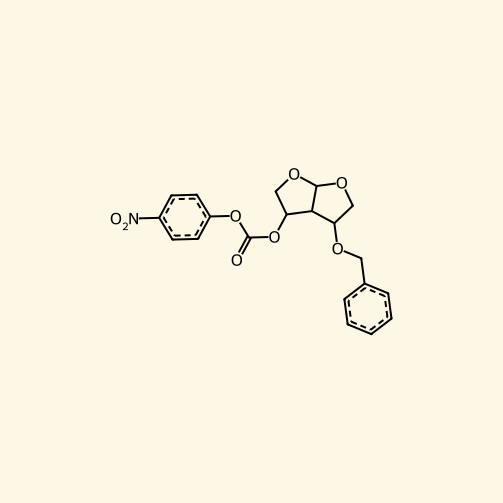 O=C(Oc1ccc([N+](=O)[O-])cc1)OC1COC2OCC(OCc3ccccc3)C12